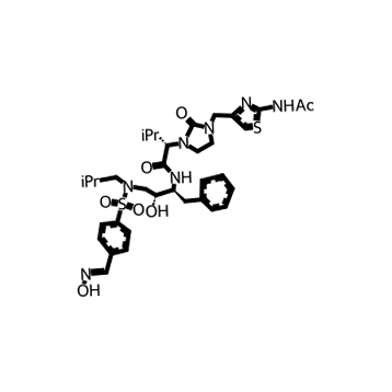 CC(=O)Nc1nc(CN2CCN([C@H](C(=O)N[C@@H](Cc3ccccc3)[C@H](O)CN(CC(C)C)S(=O)(=O)c3ccc(/C=N/O)cc3)C(C)C)C2=O)cs1